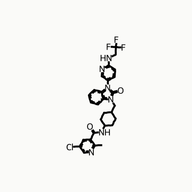 Cc1ncc(Cl)cc1C(=O)NC1CCC(Cn2c(=O)n(-c3ccc(NCC(F)(F)F)nc3)c3ccccc32)CC1